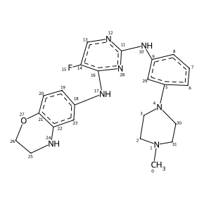 CN1CCN(c2cccc(Nc3ncc(F)c(Nc4ccc5c(c4)NCCO5)n3)c2)CC1